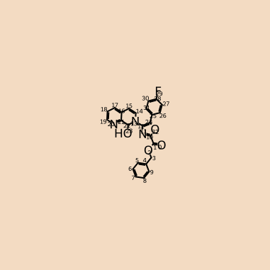 O=C(OCc1ccccc1)c1nc(N2C=Cc3cccnc3C2O)c(-c2ccc(F)cc2)o1